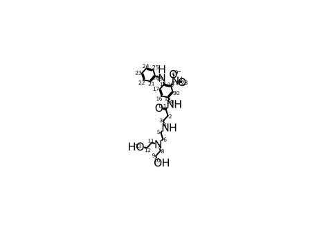 O=C(CCNCCN(CCO)CCO)Nc1ccc(Nc2ccccc2)c([N+](=O)[O-])c1